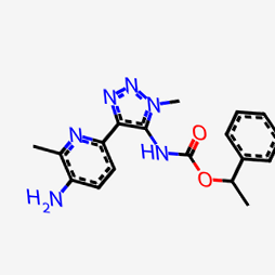 Cc1nc(-c2nnn(C)c2NC(=O)OC(C)c2ccccc2)ccc1N